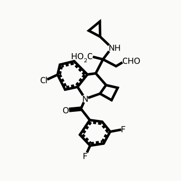 O=CCC(NC1CC1)(C(=O)O)C1c2ccc(Cl)cc2N(C(=O)c2cc(F)cc(F)c2)C2CCC21